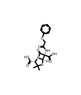 CC1(C)S[C@H]2N(C(=O)[C@@]2(NC(=O)COc2ccccc2)C(=O)O)[C@H]1C(=O)O